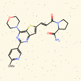 COc1ccc(-c2nc(N3CCOCC3)c3sc(/C=C/C(=O)N4CCCC4C(N)=O)cc3n2)cn1